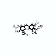 Cc1cc(Cc2cc(C)c(N=C=O)c(C)c2)cc(C)c1O